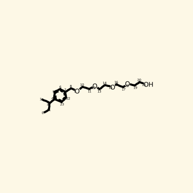 CCC(C)c1ccc(COCCOCCOCCOCCO)cc1